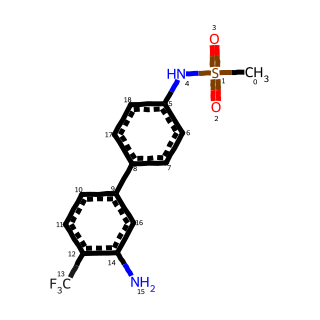 CS(=O)(=O)Nc1ccc(-c2ccc(C(F)(F)F)c(N)c2)cc1